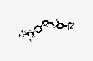 CC(C)(C)OC(=O)N1CCC(n2ccc(COc3ccc(-n4cnnn4)cc3F)n2)CC1